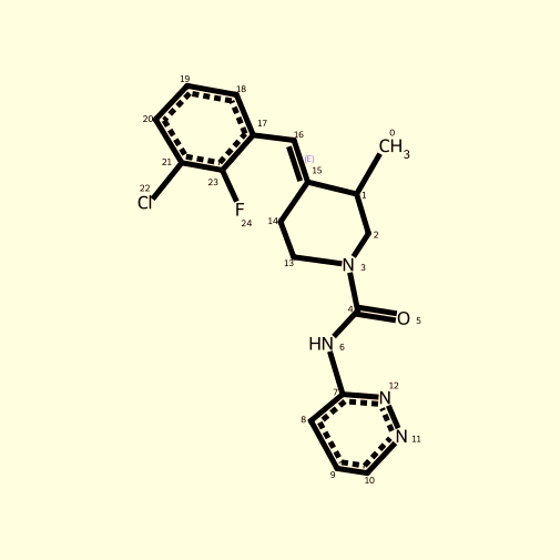 CC1CN(C(=O)Nc2cccnn2)CC/C1=C\c1cccc(Cl)c1F